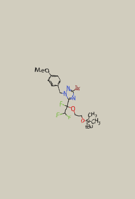 COc1ccc(Cn2nc(Br)nc2C(F)(OCCO[Si](C)(C)C(C)(C)C)C(F)F)cc1